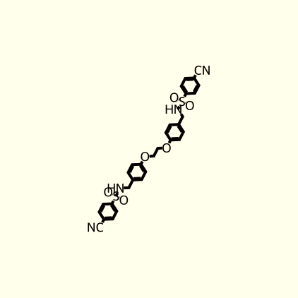 N#Cc1ccc(S(=O)(=O)NCc2ccc(OCCOc3ccc(CNS(=O)(=O)c4ccc(C#N)cc4)cc3)cc2)cc1